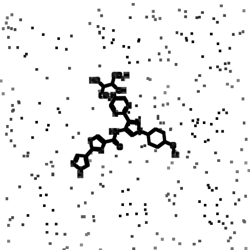 CCOC1CCC(n2cc(NC(=O)c3csc(-c4cn[nH]c4)n3)c(-c3ncccn3)n2)CC1.O=C(O)C(O)C(O)C(=O)O